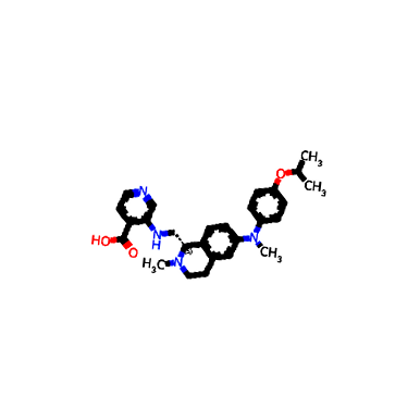 CC(C)Oc1ccc(N(C)c2ccc3c(c2)CCN(C)[C@@H]3CNc2cnccc2C(=O)O)cc1